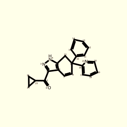 O=C(c1n[nH]c2c1C=CC(c1ccccc1)(c1ccccn1)C2)C1CC1